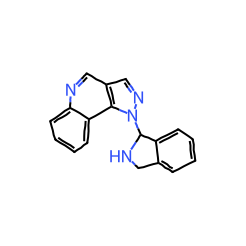 c1ccc2c(c1)CNC2n1ncc2cnc3ccccc3c21